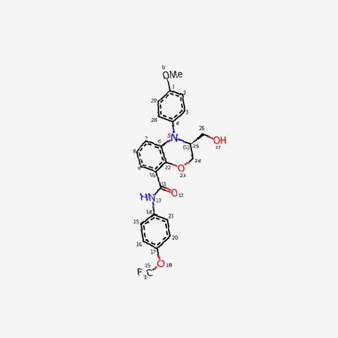 COc1ccc(N2c3cccc(C(=O)Nc4ccc(OC(F)(F)F)cc4)c3OC[C@@H]2CO)cc1